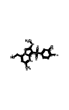 CSc1nn2c(CO)cc(C)nc2c1S(=O)(=O)c1ccc(F)c(Cl)c1